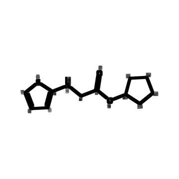 O=C(CNc1cccs1)OC1CCCC1